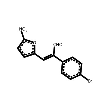 O=CC(=Cc1ccc([N+](=O)[O-])o1)c1ccc(Br)cc1